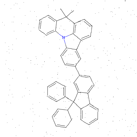 CC1(C)c2ccccc2-n2c3ccc(-c4ccc5c(c4)C(c4ccccc4)(C4C=CC=CC4)c4ccccc4-5)cc3c3cccc1c32